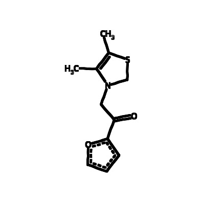 CC1=C(C)N(CC(=O)c2ccco2)CS1